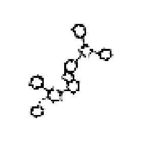 c1ccc(Sc2cnc(-c3cccc4c3sc3ccc(-c5nc(-c6ccccc6)nc(-c6ccccc6)n5)cc34)nc2-c2ccccc2)cc1